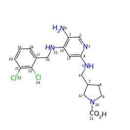 Nc1cnc(NCC2CCN(C(=O)O)C2)cc1NCc1cccc(Cl)c1Cl